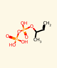 C=CC(C)OP(=O)(O)OP(=O)(O)O